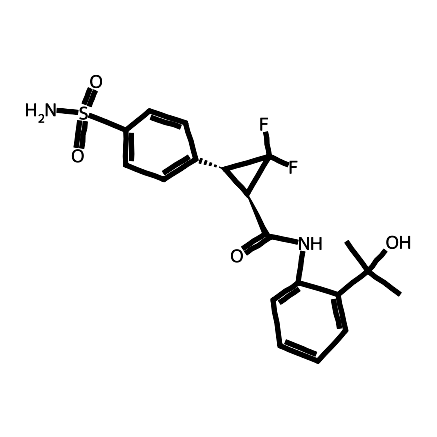 CC(C)(O)c1ccccc1NC(=O)[C@H]1[C@H](c2ccc(S(N)(=O)=O)cc2)C1(F)F